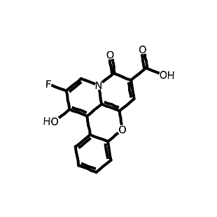 O=C(O)c1cc2c3c(c(O)c(F)cn3c1=O)-c1ccccc1O2